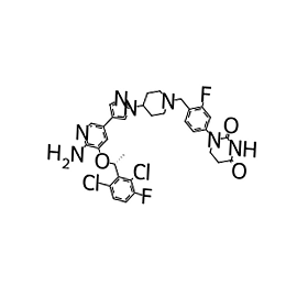 C[C@@H](Oc1cc(-c2cnn(C3CCN(Cc4ccc(N5CCC(=O)NC5=O)cc4F)CC3)c2)cnc1N)c1c(Cl)ccc(F)c1Cl